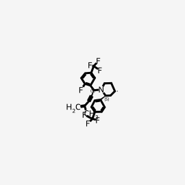 C=C(C)C#C[C@@H](c1cc(C(F)(F)F)ccc1F)N1CC[CH]C[C@H]1c1ccc(C(F)(F)F)cc1